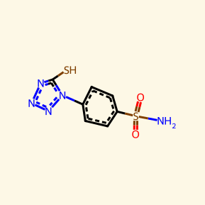 NS(=O)(=O)c1ccc(-n2nnnc2S)cc1